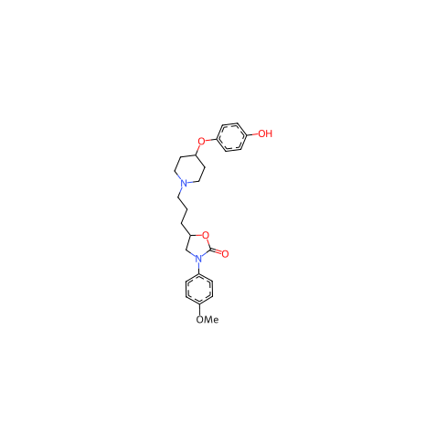 COc1ccc(N2CC(CCCN3CCC(Oc4ccc(O)cc4)CC3)OC2=O)cc1